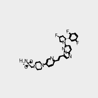 NS(=O)(=O)CN1CCN(c2ccc(/C=C/c3cnc4ccc(N5C[C@@H](F)C[C@@H]5c5cc(F)ccc5F)nn34)nc2)CC1